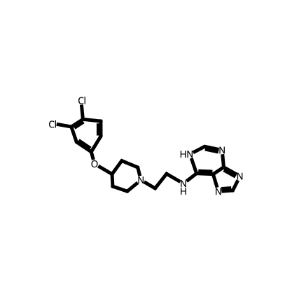 Clc1ccc(OC2CCN(CCNc3[nH]cnc4ncnc3-4)CC2)cc1Cl